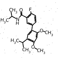 COc1cc(OC)c(C(C)C)cc1-c1ccc(F)c(C(=O)NC(C)C)c1